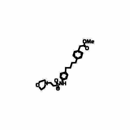 COC(=O)Cc1ccc(CCCCc2ccc(NS(=O)(=O)CCN3CCOCC3)cc2)cc1